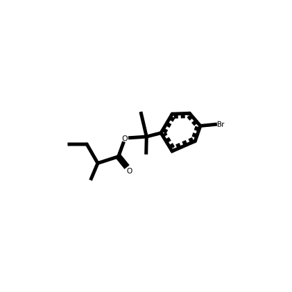 CCC(C)C(=O)OC(C)(C)c1ccc(Br)cc1